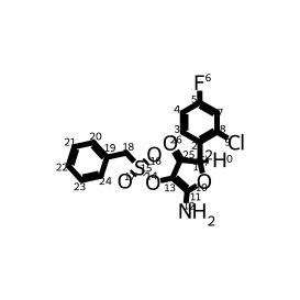 [2H][C@@]1(c2ccc(F)cc2Cl)OC(N)=C(OS(=O)(=O)Cc2ccccc2)C1=O